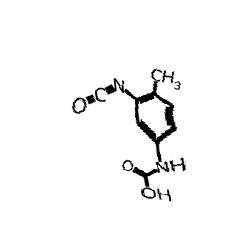 Cc1ccc(NC(=O)O)cc1N=C=O